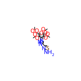 CC(=O)OC[C@H]1O[C@@H](OC(C)=O)[C@H](OC(C)=O)[C@@H](n2cc(-c3csc(N)n3)nn2)[C@H]1OC(C)=O